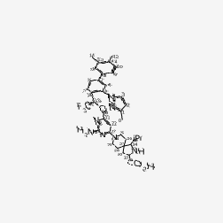 Cc1ccn(-c2cc(-c3ccc(C)c(C)c3)ccc2[C@@H](Oc2cc(N3CCC4(CC3)CC(C(=O)O)NC4C(C)C)nc(N)n2)C(F)(F)F)n1